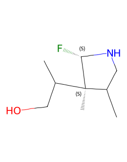 CC(CO)[C@]1(C)C(C)CN[C@H]1F